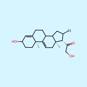 CCC1CC2C3CCC4=CC(O)CC[C@]4(C)C3=CC[C@]2(C)[C@H]1C(=O)CO